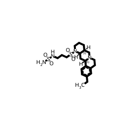 CCc1ccc2c(c1)CCN1C[C@@H]3CCCN(S(=O)(=O)CCCNS(N)(=O)=O)[C@@H]3C[C@@H]21